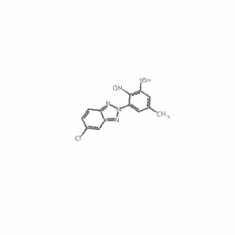 Cc1cc(-n2nc3ccc(Cl)cc3n2)c(N=O)c(C(C)(C)C)c1